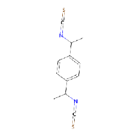 CC(N=C=S)c1ccc(C(C)N=C=S)cc1